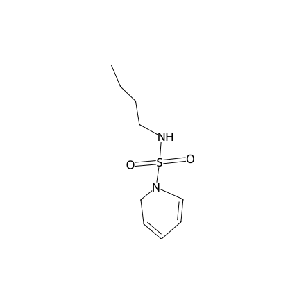 CCCCNS(=O)(=O)N1C=CC=CC1